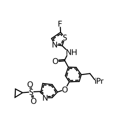 CC(C)Cc1cc(Oc2ccc(S(=O)(=O)C3CC3)nc2)cc(C(=O)Nc2ncc(F)s2)c1